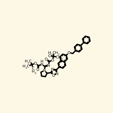 CC(C)(C)OC(=O)N=C(NC(=O)OC(C)(C)C)N1CCCC1c1nc(-c2ccc3cc(OCc4ccc(-c5ccccc5)cc4)ccc3c2)no1